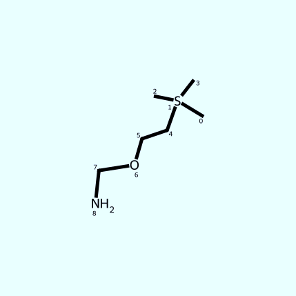 CS(C)(C)CCOCN